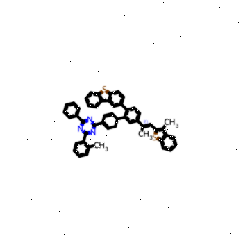 C/C(=C\c1sc2ccccc2c1C)c1ccc(-c2ccc3sc4ccccc4c3c2)c(C2C=CC(c3nc(-c4ccccc4)nc(-c4ccccc4C)n3)=CC2)c1